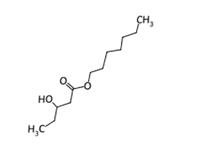 CCCCCCCOC(=O)CC(O)CC